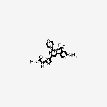 CC(=O)Nc1ncc(-c2cc(-c3cnc(N)cc3C(F)(F)F)nc(N3CCOCC3)n2)s1